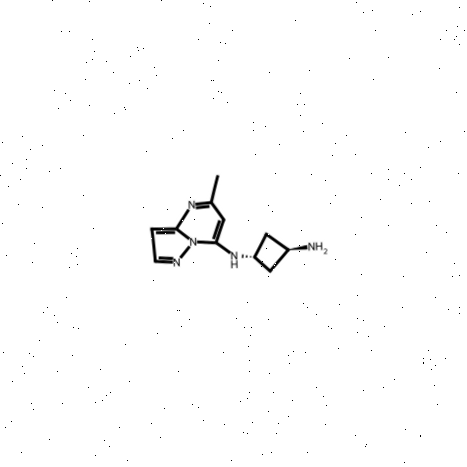 Cc1cc(N[C@H]2C[C@H](N)C2)n2nccc2n1